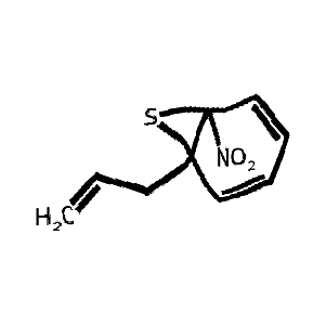 C=CCC12C=CC=CC1([N+](=O)[O-])S2